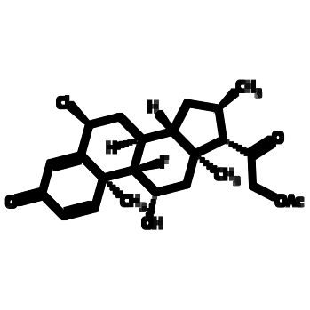 CC(=O)OCC(=O)[C@H]1[C@H](C)C[C@H]2[C@@H]3C[C@H](Cl)C4=CC(=O)C=C[C@]4(C)[C@@]3(F)[C@@H](O)C[C@@]21C